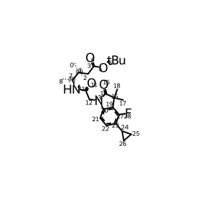 C[C@H](CC(=O)OC(C)(C)C)[C@@H](C)NC(=O)CN1C(=O)C(C)(C)c2c1ccc(C1CC1)c2F